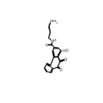 Cl.NCCCNC(=O)c1ccc2c(c1)-c1ccccc1C(=O)C2=O